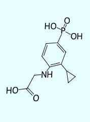 O=C(O)CNc1ccc(P(=O)(O)O)cc1C1CC1